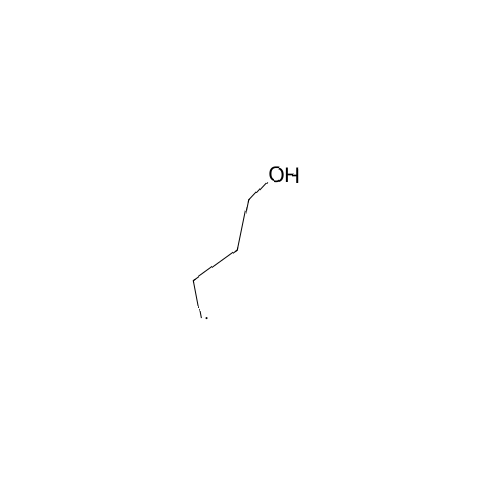 [CH2]CCCO